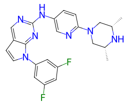 C[C@@H]1CN(c2ccc(Nc3ncc4ccn(-c5cc(F)cc(F)c5)c4n3)cn2)C[C@H](C)N1